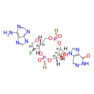 Nc1ncnc2c1ncn2[C@@H]1O[C@@H]2COP(=O)(S)O[C@H]3C(n4cnc5c(=O)[nH]ncc54)O[C@H](OP(=O)(S)O[C@H]2[C@H]1F)[C@H]3O